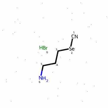 Br.N#C[Se]CCCN